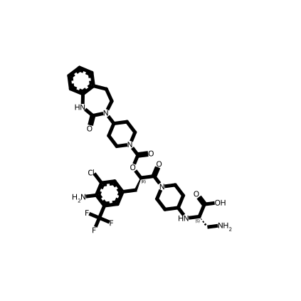 NC[C@H](NC1CCN(C(=O)[C@@H](Cc2cc(Cl)c(N)c(C(F)(F)F)c2)OC(=O)N2CCC(N3CCc4ccccc4NC3=O)CC2)CC1)C(=O)O